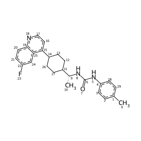 Cc1ccc(NC(=O)N[C@H](C)C2CCC(c3ccnc4ccc(F)cc34)CC2)cc1